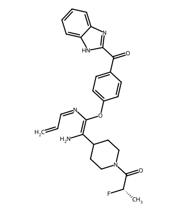 C=C/C=N\C(Oc1ccc(C(=O)c2nc3ccccc3[nH]2)cc1)=C(/N)C1CCN(C(=O)[C@H](C)F)CC1